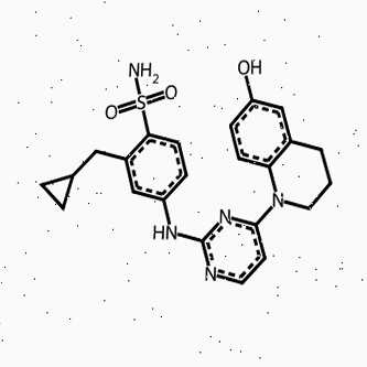 NS(=O)(=O)c1ccc(Nc2nccc(N3CCCc4cc(O)ccc43)n2)cc1CC1CC1